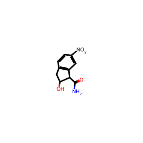 NC(=O)C1c2cc([N+](=O)[O-])ccc2CC1O